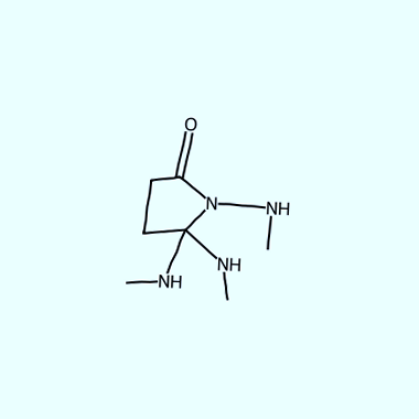 CNN1C(=O)CCC1(NC)NC